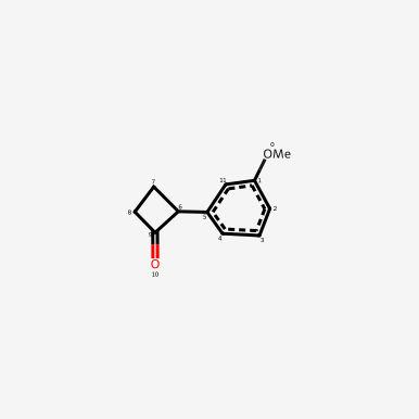 COc1cccc(C2CCC2=O)c1